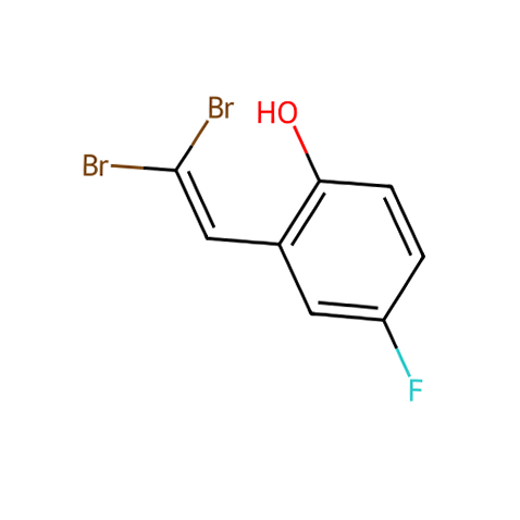 Oc1ccc(F)cc1C=C(Br)Br